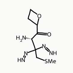 CSCC(N=N)(N=N)[C@H](N)C(=O)C1CCO1